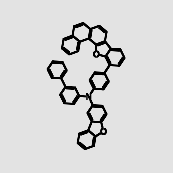 c1ccc(-c2cccc(N(c3ccc(-c4cccc5c4oc4c5ccc5ccc6ccccc6c54)cc3)c3ccc4oc5ccccc5c4c3)c2)cc1